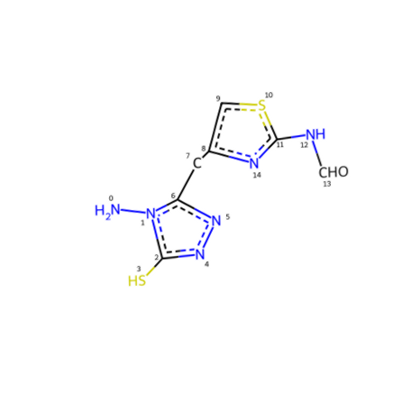 Nn1c(S)nnc1Cc1csc(NC=O)n1